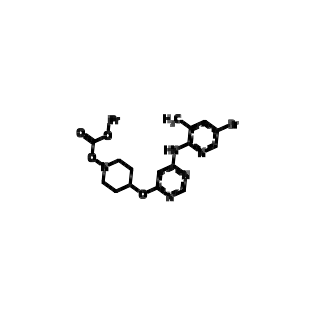 Cc1cc(Br)cnc1Nc1cc(OC2CCN(OC(=O)OC(C)C)CC2)ncn1